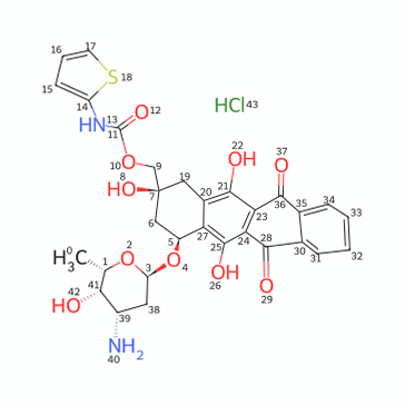 C[C@@H]1O[C@@H](O[C@H]2C[C@](O)(COC(=O)Nc3cccs3)Cc3c(O)c4c(c(O)c32)C(=O)c2ccccc2C4=O)C[C@H](N)[C@@H]1O.Cl